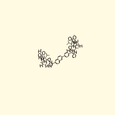 COC(=O)NC(C(=O)N1[C@@H]2C[C@@H]2C[C@H]1c1nc(Cl)c(-c2ccc(-c3ccc4cc(-c5c[nH]c([C@@H]6C[C@H]7C[C@H]7N6C(=O)C(NC(=O)O)C(C)C)n5)ccc4c3)cc2)[nH]1)C(C)C